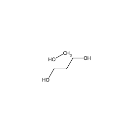 CO.OCCCO